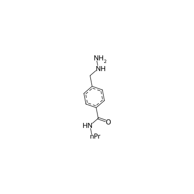 CCCNC(=O)c1ccc(CNN)cc1